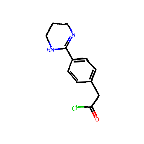 O=C(Cl)Cc1ccc(C2=NCCCN2)cc1